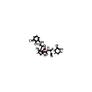 Cc1c(Cl)cccc1NCC(=O)N1[C@@H]2CC[C@H]([C@@H]1C(=O)N[C@H](C#N)C[C@H]1CCCNC1=O)C(F)(F)C2